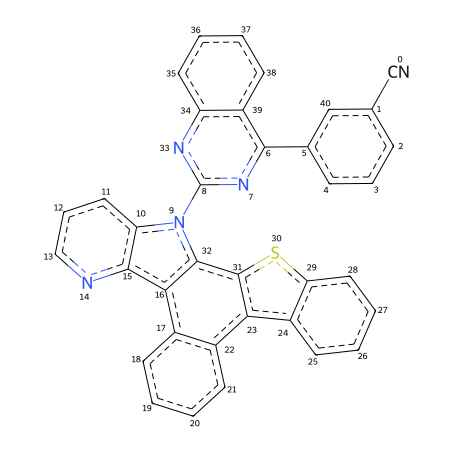 N#Cc1cccc(-c2nc(-n3c4cccnc4c4c5ccccc5c5c6ccccc6sc5c43)nc3ccccc23)c1